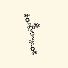 CS(=O)(=O)O[C@@H]1C[C@@H](C(=O)N2CCN(CCOC(=O)OCc3ccc([N+](=O)[O-])cc3)CC2)N(C(=O)OCc2ccc([N+](=O)[O-])cc2)C1